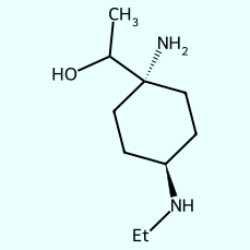 CCN[C@H]1CC[C@@](N)(C(C)O)CC1